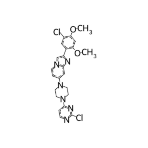 COc1cc(OC)c(-c2cn3ccc(N4CCN(c5ccnc(Cl)n5)CC4)cc3n2)cc1Cl